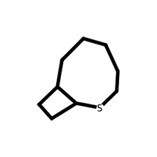 C1CCSC2CCC2CC1